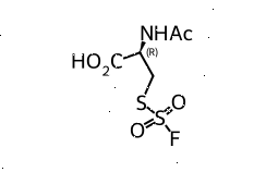 CC(=O)N[C@@H](CSS(=O)(=O)F)C(=O)O